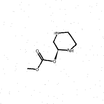 COC(=O)O[C@H]1CNCCN1